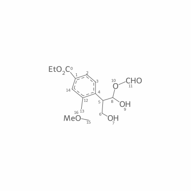 CCOC(=O)c1ccc(C(CO)C(O)OC=O)c(C)c1.COC